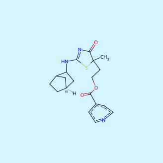 CC1(CCOC(=O)c2ccncc2)SC(NC2C[C@H]3CCC2C3)=NC1=O